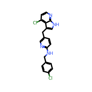 Clc1ccc(CNc2ccc(Cc3c[nH]c4nccc(Cl)c34)cn2)cc1